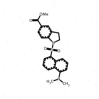 COC(=O)c1ccc2c(c1)CCN2S(=O)(=O)c1cccc2c(N(C)C)cccc12